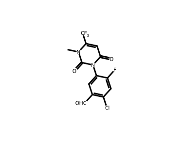 Cn1c(C(F)(F)F)cc(=O)n(-c2cc(C=O)c(Cl)cc2F)c1=O